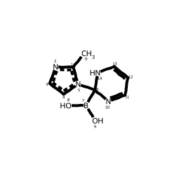 Cc1nccn1C1(B(O)O)N=CC=CN1